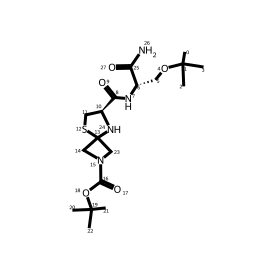 CC(C)(C)OC[C@H](NC(=O)[C@@H]1CSC2(CN(C(=O)OC(C)(C)C)C2)N1)C(N)=O